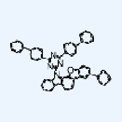 c1ccc(-c2ccc(-c3nc(-c4ccc(-c5ccccc5)cc4)nc(-n4c5ccccc5c5ccc6c7cc(-c8ccccc8)ccc7oc6c54)n3)cc2)cc1